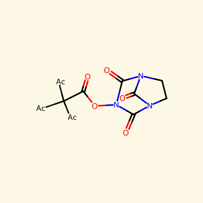 CC(=O)C(C(C)=O)(C(C)=O)C(=O)On1c(=O)n2c(=O)n(c1=O)CC2